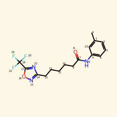 Cc1cccc(NC(=O)CCCCCc2noc(C(F)(F)F)n2)c1